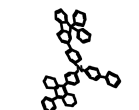 c1ccc(-c2ccc(N(c3ccc(-c4ccc5c(c4)C(c4ccccc4)(c4ccccc4)c4ccccc4-5)cc3)c3ccc(-c4c5c(c(-c6ccccc6)c6c4CCCC6)CCCC5)cc3)cc2)cc1